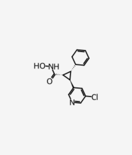 O=C(NO)[C@H]1[C@H](c2cncc(Cl)c2)[C@H]1C1C=CC=CC1